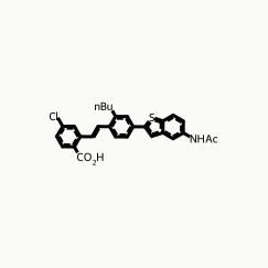 CCCCc1cc(-c2cc3cc(NC(C)=O)ccc3s2)ccc1C=Cc1cc(Cl)ccc1C(=O)O